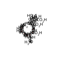 CC(C)C[C@@H]1NC(=O)[C@H](Cc2cccc(NC(=O)CCCS(N)(=O)=O)c2)NC(=O)[C@H](CC(=O)O)NC(=O)[C@H]2CCCN2C(=O)[C@H](CCC(=O)O)NC(=O)[C@@H](NC(=O)[C@H](CCC(N)=O)NC(=O)CN2CCN(CC(=O)O)CCN(CC(=O)O)CCN(CC(=O)O)CC2)CSCc2cccc(c2)CSC[C@@H](C(N)=O)NC(=O)[C@H](CO)NC(=O)C(Cc2c[nH]c3ccccc23)NC(=O)[C@H]([C@@H](C)O)NC1=O